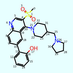 CS(=O)(=O)c1cnc2ccc(-c3ccccc3O)cc2c1N1CCC(CN2CCCC2)CC1